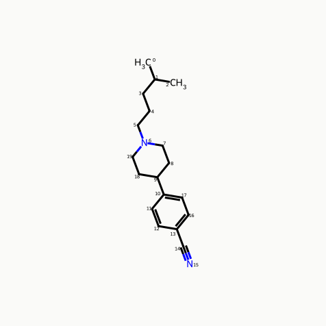 CC(C)CCCN1CCC(c2ccc(C#N)cc2)CC1